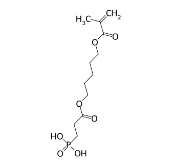 C=C(C)C(=O)OCCCCCOC(=O)CCP(=O)(O)O